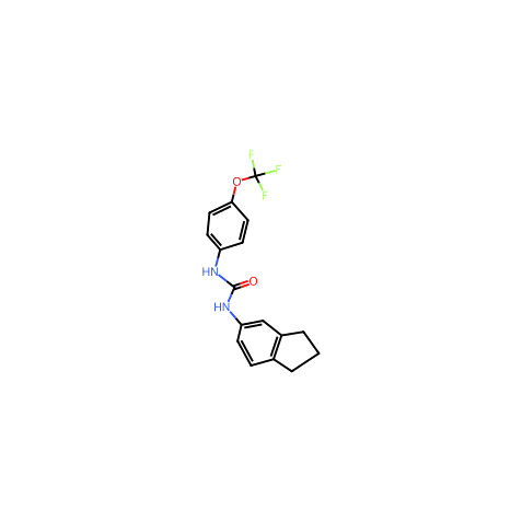 O=C(Nc1ccc(OC(F)(F)F)cc1)Nc1ccc2c(c1)CCC2